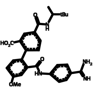 COc1ccc(-c2ccc(C(=O)NC(C)C(C)(C)C)cc2C(=O)O)c(C(=O)Nc2ccc(C(=N)N)cc2)c1